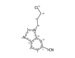 N#Cc1ccc2ncn(CCCCl)c2c1